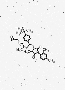 Cc1ccc(N2C(=O)C(C)C(CC(CC(C)COCC3CO3)c3ccc(C(C)(C)C)cc3)C2=O)c(C)c1